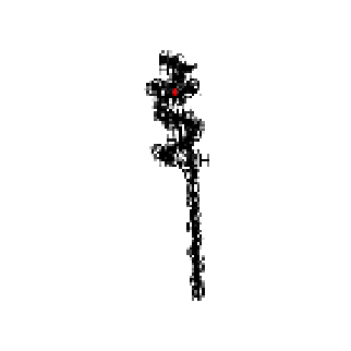 CC[C@H](C)[C@H](NC(=O)C(C)(C)N(C)C)C(=O)N(C)[C@H](C[C@@H](OC(C)=O)c1nc(C(=O)N[C@H](CCC(=O)O)Cc2ccc(O)c(NC(=O)CNC(=O)[C@@H](NC(=O)[C@H](CCCCNC(=O)COCCOCCOCCOCCOCCOCCOCCOCCOCCOC)NC(=O)CCCN3C(=O)C=CC3=O)C(C)C)c2)cs1)C(C)C